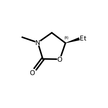 CC[C@@H]1CN(C)C(=O)O1